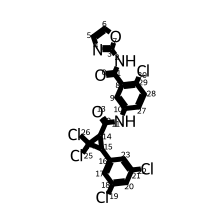 O=C(Nc1ncco1)c1cc(NC(=O)C2C(c3cc(Cl)cc(Cl)c3)C2(Cl)Cl)ccc1Cl